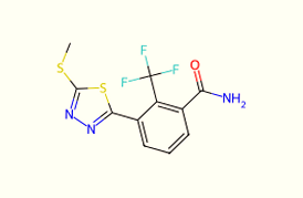 CSc1nnc(-c2cccc(C(N)=O)c2C(F)(F)F)s1